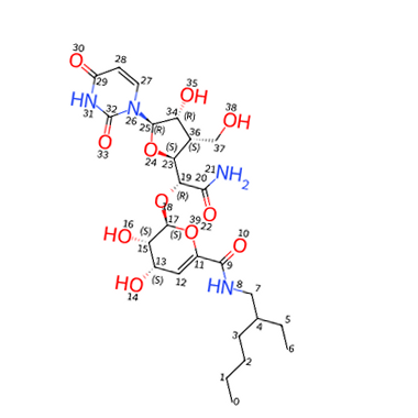 CCCCC(CC)CNC(=O)C1=C[C@H](O)[C@H](O)[C@@H](O[C@@H](C(N)=O)[C@H]2O[C@@H](n3ccc(=O)[nH]c3=O)[C@H](O)[C@@H]2CO)O1